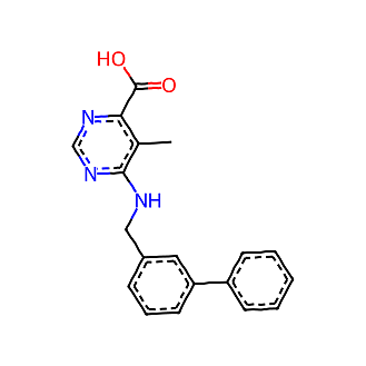 Cc1c(NCc2cccc(-c3ccccc3)c2)ncnc1C(=O)O